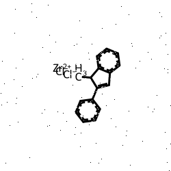 CC1C(c2ccccc2)=Cc2ccccc21.[Cl-].[Cl-].[Zr+2]